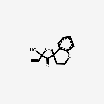 C=CC(O)(C(=O)C1(C)CCOc2ccccc21)C(F)(F)F